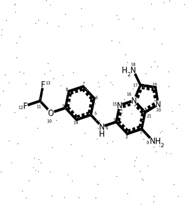 Nc1cc(Nc2cccc(OC(F)F)c2)nn2c(N)cnc12